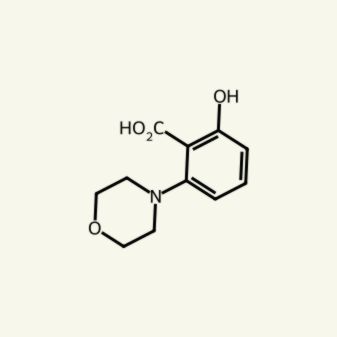 O=C(O)c1c(O)cccc1N1CCOCC1